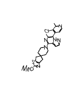 COc1nc2c(s1)CC1(CCN(c3nc(C)c(-c4ccnc(C)c4Cl)n4nccc34)CC1)C2